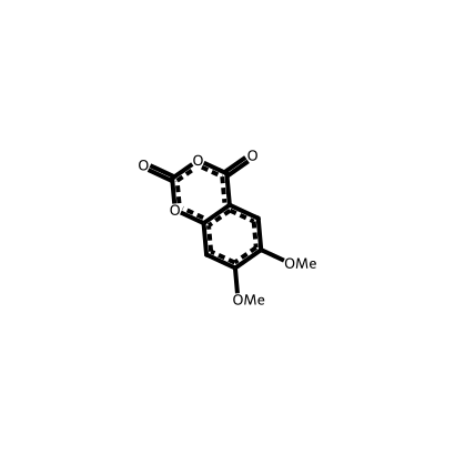 COc1cc2oc(=O)oc(=O)c2cc1OC